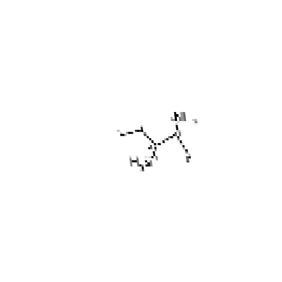 CCC([SiH3])C(C)N